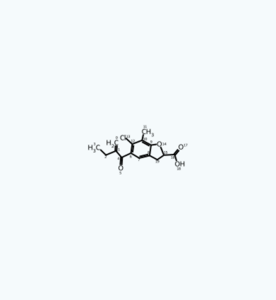 C=C(CC)C(=O)c1cc2c(c(C)c1Cl)OC(C(=O)O)C2